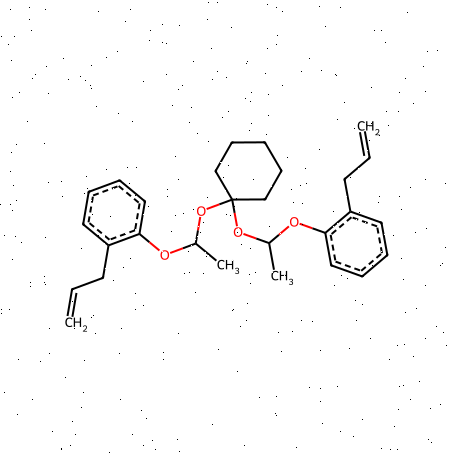 C=CCc1ccccc1OC(C)OC1(OC(C)Oc2ccccc2CC=C)CCCCC1